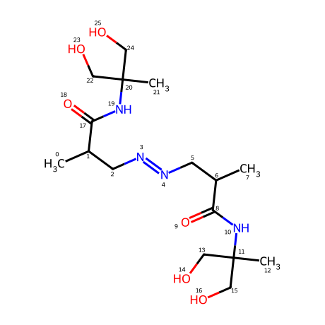 CC(CN=NCC(C)C(=O)NC(C)(CO)CO)C(=O)NC(C)(CO)CO